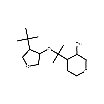 CC(C)(C)C1COCC1OC(C)(C)C1CCOCC1O